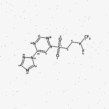 O=S(=O)(CCC(F)C(F)(F)F)c1cc(-n2cncn2)ncn1